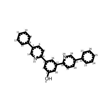 Oc1cc(-c2ccc(-c3ccccc3)cn2)cc(-c2ccc(-c3ccccc3)cn2)c1